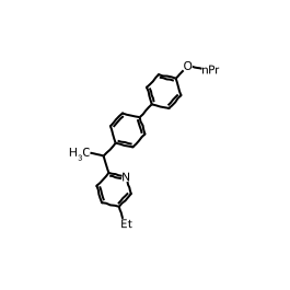 CCCOc1ccc(-c2ccc(C(C)c3ccc(CC)cn3)cc2)cc1